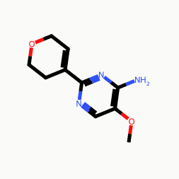 COc1cnc(C2=CCOCC2)nc1N